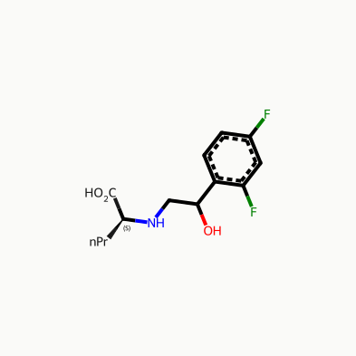 CCC[C@H](NCC(O)c1ccc(F)cc1F)C(=O)O